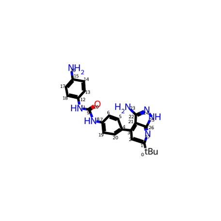 CC(C)(C)c1cc(-c2ccc(NC(=O)Nc3ccc(N)cc3)cc2)c2c(N)n[nH]c2n1